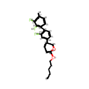 CCCCCOC1CCC(c2ccc(-c3ccc(C)c(F)c3F)c(F)c2)CO1